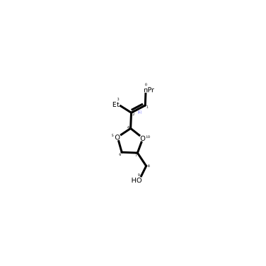 CCC/C=C(\CC)C1OCC(CO)O1